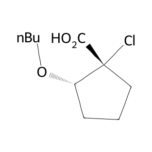 CCCCO[C@H]1CCC[C@]1(Cl)C(=O)O